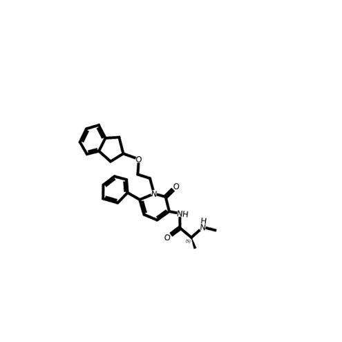 CN[C@@H](C)C(=O)Nc1ccc(-c2ccccc2)n(CCOC2Cc3ccccc3C2)c1=O